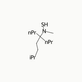 CCCC(CCC)(CCC(C)C)N(C)S